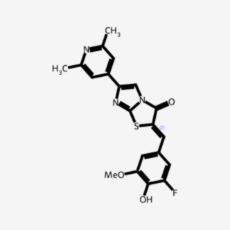 COc1cc(/C=c2\sc3nc(-c4cc(C)nc(C)c4)cn3c2=O)cc(F)c1O